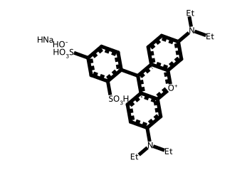 CCN(CC)c1ccc2c(-c3ccc(S(=O)(=O)O)cc3S(=O)(=O)O)c3ccc(N(CC)CC)cc3[o+]c2c1.[NaH].[OH-]